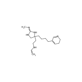 C=CNCCC1(CCCCC2=CCCN=C2)CN/C(=N\C)N1